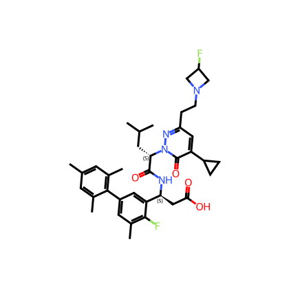 Cc1cc(C)c(-c2cc(C)c(F)c([C@H](CC(=O)O)NC(=O)[C@H](CC(C)C)n3nc(CCN4CC(F)C4)cc(C4CC4)c3=O)c2)c(C)c1